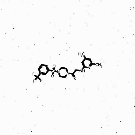 Cc1cc(C)nc(NCC(=S)N2CCN(S(=O)(=O)c3cccc(C(F)(F)F)c3)CC2)c1